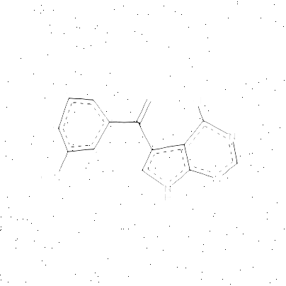 O=C(c1cccc([N+](=O)[O-])c1)c1c[nH]c2ncnc(Cl)c12